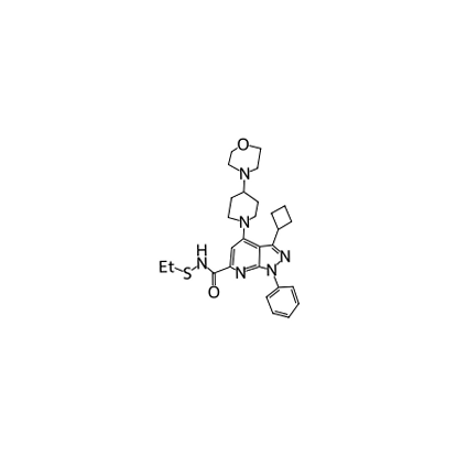 CCSNC(=O)c1cc(N2CCC(N3CCOCC3)CC2)c2c(C3CCC3)nn(-c3ccccc3)c2n1